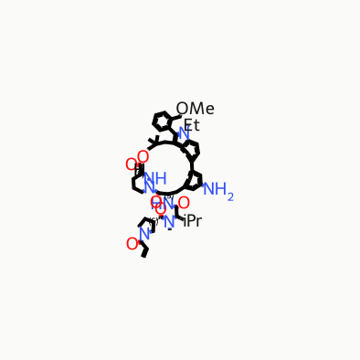 C=CC(=O)N1CC[C@H](C(=O)N(C)C(C(=O)N[C@H]2Cc3cc(N)cc(c3)-c3ccc4c(c3)c(c(-c3ccccc3COC)n4CC)CC(C)(C)COC(=O)[C@@H]3CCCN(N3)C2=O)C(C)C)C1